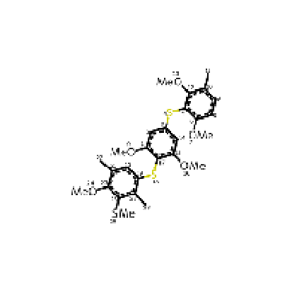 COc1cc(Sc2c(OC)ccc(C)c2OC)cc(OC)c1Sc1cc(C)c(OC)c(SC)c1C